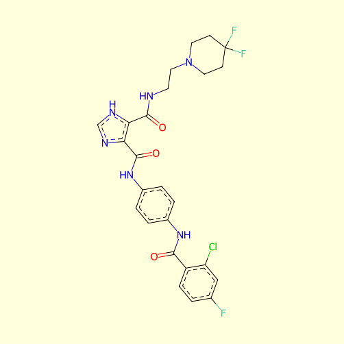 O=C(Nc1ccc(NC(=O)c2nc[nH]c2C(=O)NCCN2CCC(F)(F)CC2)cc1)c1ccc(F)cc1Cl